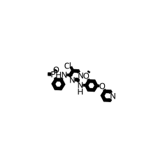 C=P(=O)c1ccccc1Nc1nc(Nc2ccc(Oc3cccnc3)cc2OC)ncc1Cl